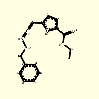 CCOC(=O)c1ccc(C=C=NSCc2ccccc2)o1